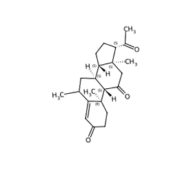 CC(=O)[C@H]1CC[C@H]2[C@@H]3CC(C)C4=CC(=O)CC[C@]4(C)[C@H]3C(=O)C[C@]12C